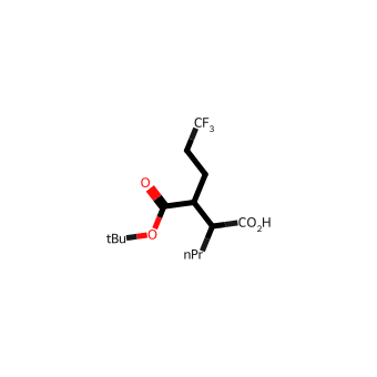 CCCC(C(=O)O)C(CCC(F)(F)F)C(=O)OC(C)(C)C